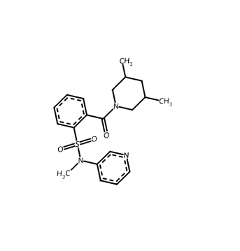 CC1CC(C)CN(C(=O)c2ccccc2S(=O)(=O)N(C)c2cccnc2)C1